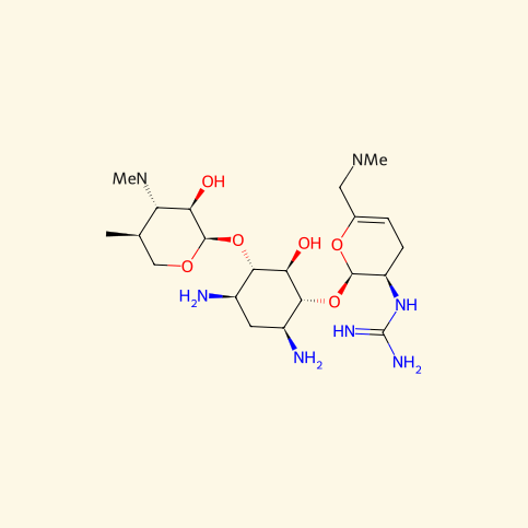 CNCC1=CC[C@@H](NC(=N)N)[C@@H](O[C@H]2[C@H](O)[C@@H](O[C@H]3OC[C@@H](C)[C@H](NC)[C@H]3O)[C@H](N)C[C@@H]2N)O1